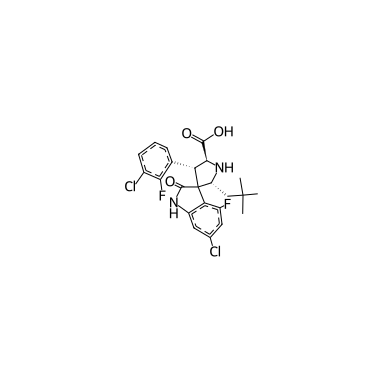 CC(C)(C)C[C@H]1N[C@H](C(=O)O)[C@@H](c2cccc(Cl)c2F)C12C(=O)Nc1cc(Cl)cc(F)c12